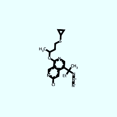 CCC(C)(N=[N+]=[N-])c1cnc(OC(C)CCSC2CC2)c2cnc(Cl)cc12